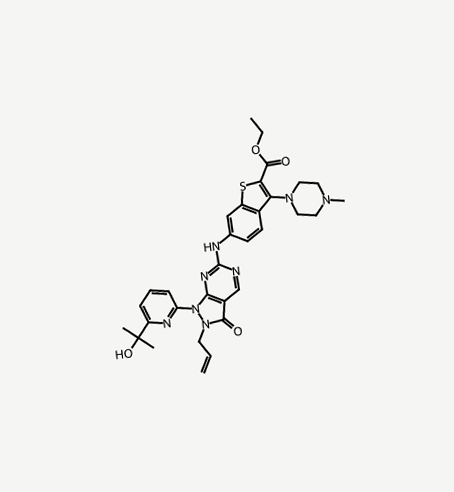 C=CCn1c(=O)c2cnc(Nc3ccc4c(N5CCN(C)CC5)c(C(=O)OCC)sc4c3)nc2n1-c1cccc(C(C)(C)O)n1